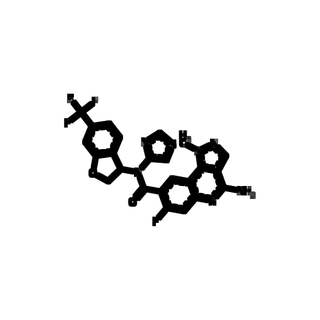 Cn1ncc2c(N)nc3cc(F)c(C(=O)N(c4cscn4)C4COc5cc(C(F)(F)F)ccc54)cc3c21